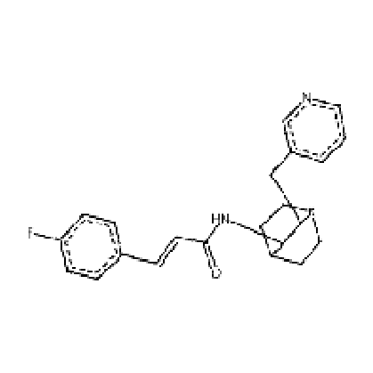 O=C(/C=C/c1ccc(F)cc1)NC1C2CCN(CC2)C1Cc1cccnc1